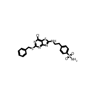 NS(=O)(=O)c1ccc(CCNc2nc3nc(SCc4ccccc4)nc(Cl)c3s2)cc1